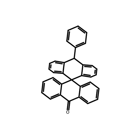 O=C1c2ccccc2C2(c3ccccc31)c1ccccc1C(c1ccccc1)c1ccccc12